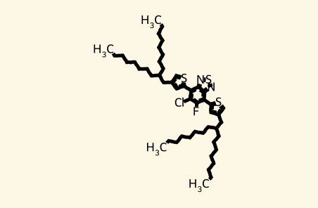 CCCCCCCCC(CCCCCCCC)Cc1csc(-c2c(F)c(Cl)c(-c3cc(CC(CCCCCCCC)CCCCCCCC)cs3)c3nsnc23)c1